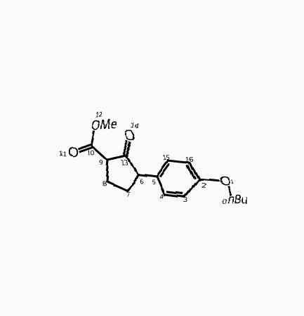 CCCCOc1ccc(C2CCC(C(=O)OC)C2=O)cc1